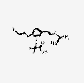 N=C(N)NC=Cc1ccc(CCCF)cc1.O=C(O)C(F)(F)F